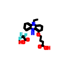 CCN1c2ccccc2Nc2c(OCCCC(=O)O)cccc21.O=C(O)C(F)(F)F